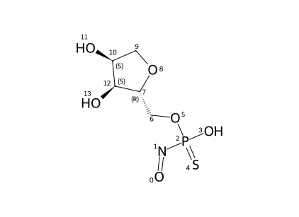 O=NP(O)(=S)OC[C@H]1OC[C@H](O)[C@@H]1O